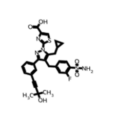 CC(C)(O)C#Cc1cccc(-c2nn(-c3nc(C(=O)O)cs3)c(CC3CC3)c2Cc2ccc(S(N)(=O)=O)c(F)c2)c1